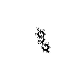 CC1=CCN(C(=O)CN2CCN(C)CC2)CC1